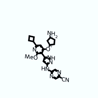 COc1nc(C2CCC2)cc(O[C@@H]2CC[C@H](N)C2)c1-c1cc(Nc2cnc(C#N)cn2)n[nH]1